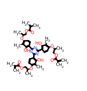 C=C(C)C(=O)OCC(C)Oc1ccc(-c2nc(-c3ccc(OC(C)COC(=O)C(=C)C)c(C)c3O)nc(-c3ccc(OC(C)COC(=O)C(=C)C)c(C)c3O)n2)c(O)c1C